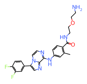 Cc1cc(Nc2nccn3c(-c4ccc(F)c(F)c4)cnc23)ccc1C(=O)NCCOCCN